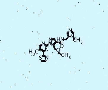 CCOCc1c(C(=O)NCc2cncn2C)cnn1-c1ncc(C)c(-c2nccs2)n1